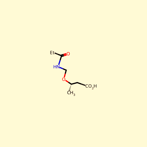 CCC(=O)NCO[C@@H](C)CC(=O)O